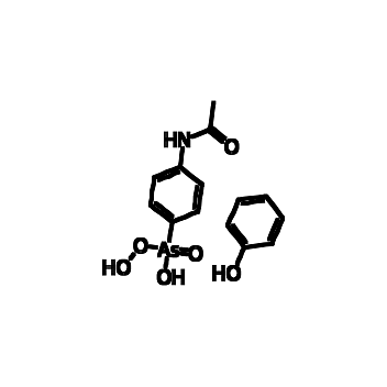 CC(=O)Nc1ccc([As](=O)(O)OO)cc1.Oc1ccccc1